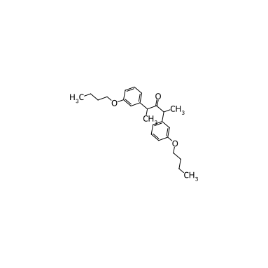 CCCCOc1cccc(C(C)C(=O)C(C)c2cccc(OCCCC)c2)c1